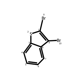 Brc1sc2c[c]ccc2c1Br